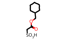 O=C(CS(=O)(=O)O)OCC1CCCCC1